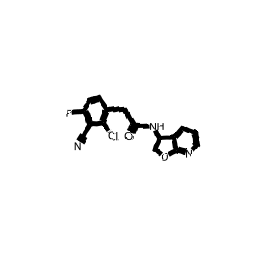 N#Cc1c(F)ccc(CC(=O)NC2COc3ncccc32)c1Cl